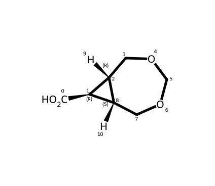 O=C(O)[C@H]1[C@@H]2COCOC[C@@H]21